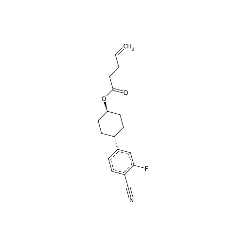 C=CCCC(=O)O[C@H]1CC[C@H](c2ccc(C#N)c(F)c2)CC1